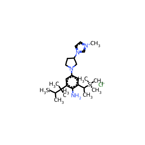 CC([SiH3])C(C)(C)c1cc(N2CCC(n3cc[n+](C)c3)C2)cc(C(C)[Si](C)(C)C)c1N.[Cl-]